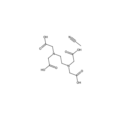 CC#N.O=C(O)CN(CCN(CC(=O)O)CC(=O)O)CC(=O)O